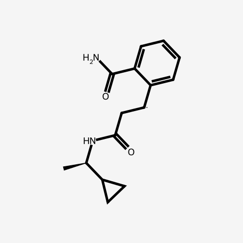 C[C@@H](NC(=O)C[CH]c1ccccc1C(N)=O)C1CC1